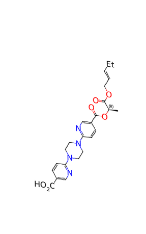 CCC=CCOC(=O)[C@@H](C)OC(=O)c1ccc(N2CCN(c3ccc(C(=O)O)cn3)CC2)nc1